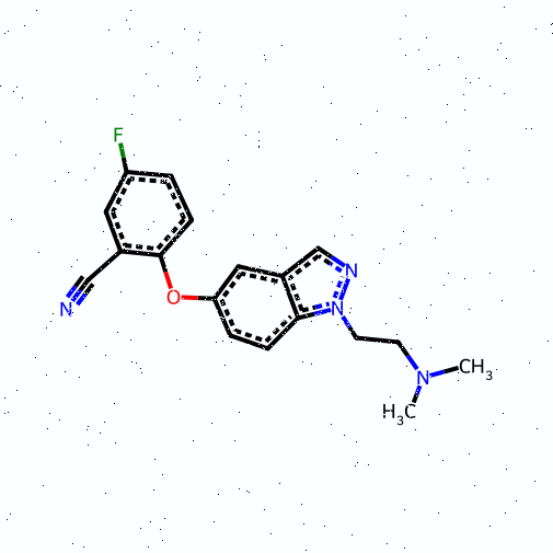 CN(C)CCn1ncc2cc(Oc3ccc(F)cc3C#N)ccc21